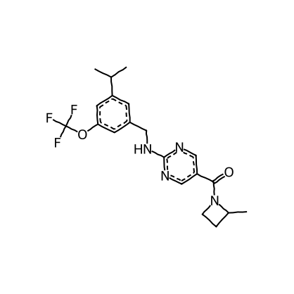 CC(C)c1cc(CNc2ncc(C(=O)N3CCC3C)cn2)cc(OC(F)(F)F)c1